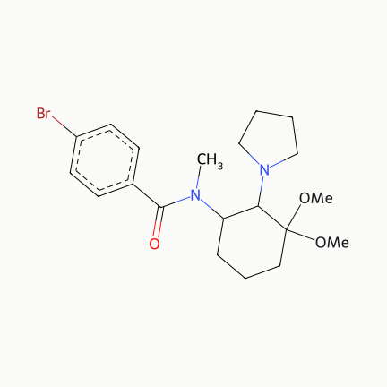 COC1(OC)CCCC(N(C)C(=O)c2ccc(Br)cc2)C1N1CCCC1